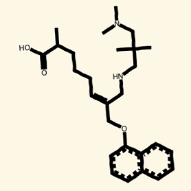 CC(CCCC=C(CNCC(C)(C)CN(C)C)COc1cccc2ccccc12)C(=O)O